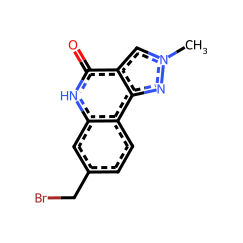 Cn1cc2c(=O)[nH]c3cc(CBr)ccc3c2n1